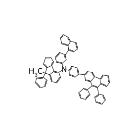 CC1(c2ccccc2)c2ccccc2-c2c(N(c3ccc(-c4ccc5c(c4)c(-c4ccccc4)c(-c4ccccc4)c4ccccc45)cc3)c3cccc(-c4cccc5ccccc45)c3)cccc21